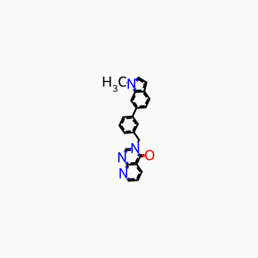 Cn1ccc2ccc(-c3cccc(Cn4cnc5ncccc5c4=O)c3)cc21